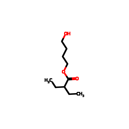 CCC(CC)C(=O)OCCCCO